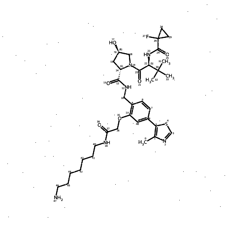 Cc1ncsc1-c1ccc(CNC(=O)[C@@H]2C[C@@H](O)CN2C(=O)[C@@H](NC(=O)C2(F)CC2)C(C)(C)C)c(OCC(=O)NCCCCCCCN)c1